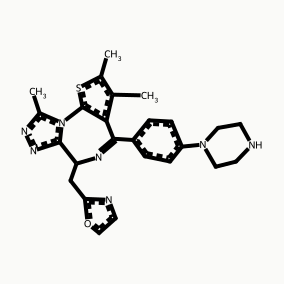 Cc1sc2c(c1C)C(c1ccc(N3CCNCC3)cc1)=NC(Cc1ncco1)c1nnc(C)n1-2